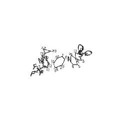 O=S1(=O)CC2(CCN([C@H]3CC[C@@H](c4cc(C(F)(F)F)nn4C4CC4)CC3)C2)C1